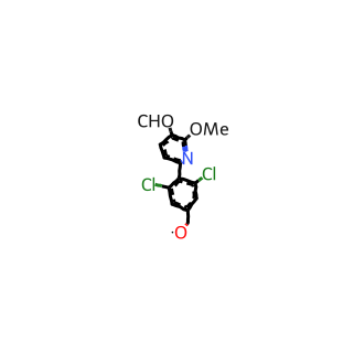 COc1nc(-c2c(Cl)cc(C[O])cc2Cl)ccc1C=O